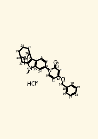 Cl.Cn1c2c(c3ccc(-n4ccc(OCc5ccccc5)cc4=O)cc31)C1CCCC(C2)N1